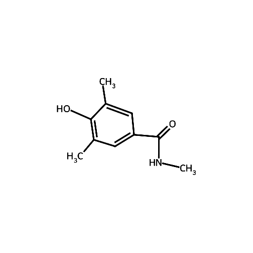 CNC(=O)c1cc(C)c(O)c(C)c1